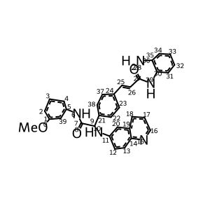 COc1cccc(NC(=O)C(Nc2ccc3ncccc3c2)c2ccc(C=CC(=O)Nc3ccccc3N)cc2)c1